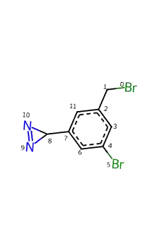 BrCc1cc(Br)cc(C2N=N2)c1